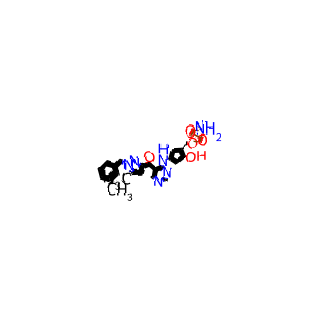 Cc1cccc(Cn2nc(C(=O)c3cncnc3N[C@@H]3C[C@H](COS(N)(=O)=O)[C@@H](O)C3)cc2C)c1